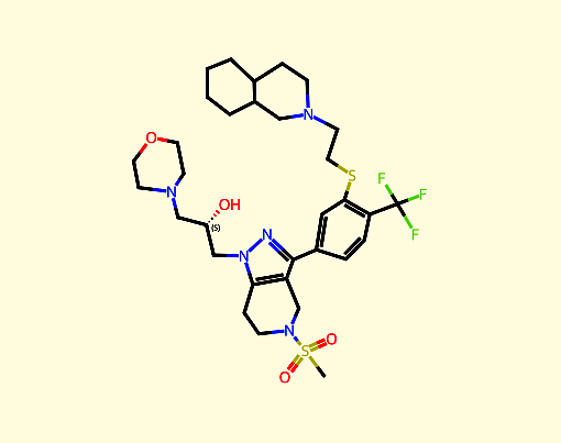 CS(=O)(=O)N1CCc2c(c(-c3ccc(C(F)(F)F)c(SCCN4CCC5CCCCC5C4)c3)nn2C[C@@H](O)CN2CCOCC2)C1